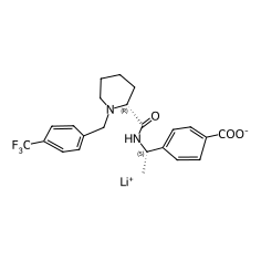 C[C@H](NC(=O)[C@H]1CCCCN1Cc1ccc(C(F)(F)F)cc1)c1ccc(C(=O)[O-])cc1.[Li+]